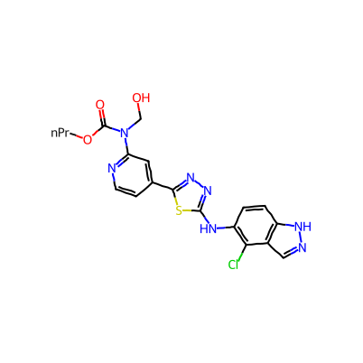 CCCOC(=O)N(CO)c1cc(-c2nnc(Nc3ccc4[nH]ncc4c3Cl)s2)ccn1